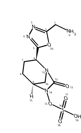 NCc1nnc([C@@H]2CC[C@H]3CN2C(=O)N3OS(=O)(=O)O)o1